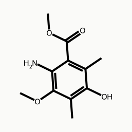 COC(=O)c1c(C)c(O)c(C)c(OC)c1N